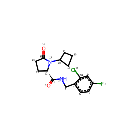 O=C(NCc1ccc(F)cc1Cl)[C@@H]1CCC(=O)N1C1CCC1